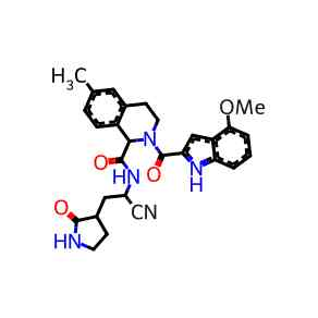 COc1cccc2[nH]c(C(=O)N3CCc4cc(C)ccc4C3C(=O)NC(C#N)CC3CCNC3=O)cc12